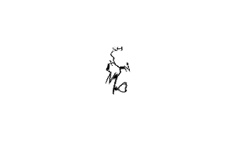 C/N=c1/c(C(C)=O)nccn1CCS